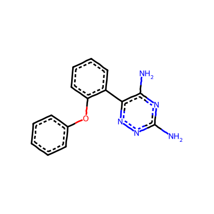 Nc1nnc(-c2ccccc2Oc2ccccc2)c(N)n1